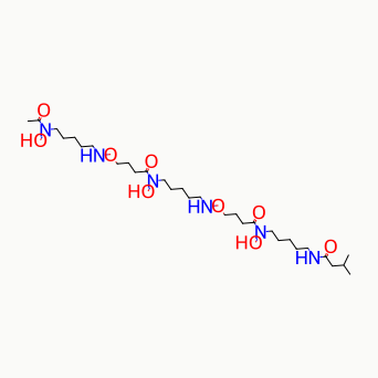 CC(=O)N(O)CCCCCNOCCCC(=O)N(O)CCCCCNOCCCC(=O)N(O)CCCCCNC(=O)CC(C)C